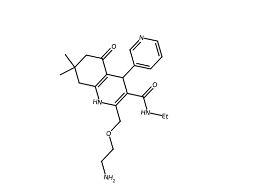 CCNC(=O)C1=C(COCCN)NC2=C(C(=O)CC(C)(C)C2)C1c1cccnc1